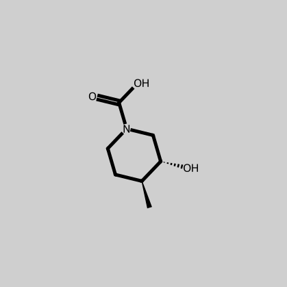 C[C@H]1CCN(C(=O)O)C[C@@H]1O